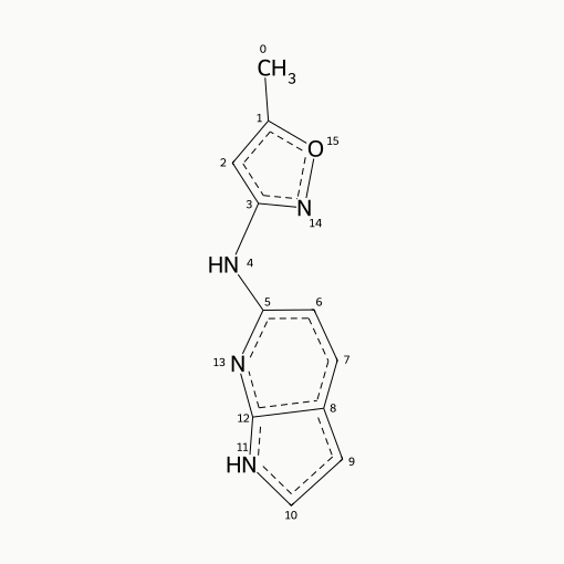 Cc1cc(Nc2ccc3cc[nH]c3n2)no1